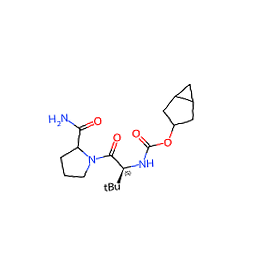 CC(C)(C)[C@H](NC(=O)OC1CC2CC2C1)C(=O)N1CCCC1C(N)=O